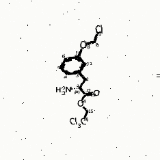 N[C@H](Cc1cccc(OCCl)c1)C(=O)OCC(Cl)(Cl)Cl